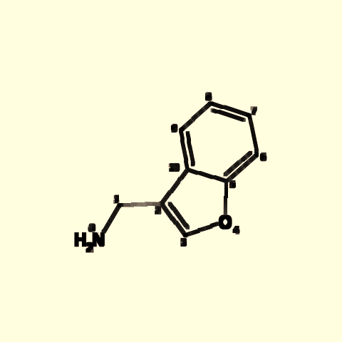 NCc1coc2ccccc12